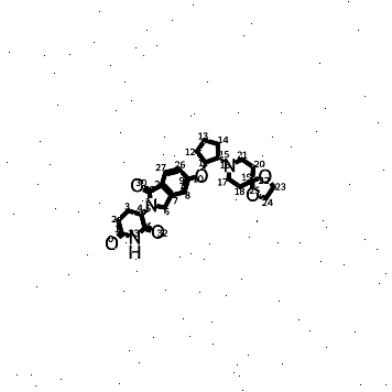 O=C1CCC(N2Cc3cc(O[C@H]4CCC[C@H]4N4CCC5(CC4)OCCO5)ccc3C2=O)C(=O)N1